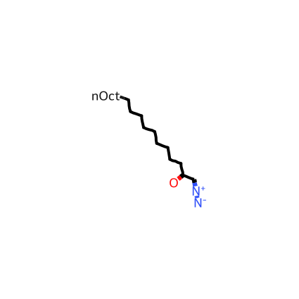 CCCCCCCCCCCCCCCCCC(=O)C=[N+]=[N-]